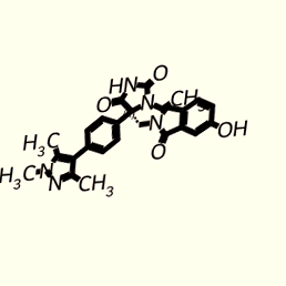 CCN1C(=O)NC(=O)[C@]1(CN1Cc2ccc(O)cc2C1=O)c1ccc(-c2c(C)nn(C)c2C)cc1